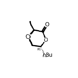 CCCC[C@@H]1COC(C)C(=O)O1